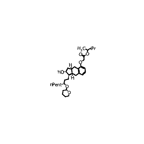 CCCCC[C@@H](CC[C@@H]1[C@H]2Cc3cccc(OCC(=O)OC(C)C(C)C)c3C[C@H]2C[C@H]1O)OC1CCCCO1